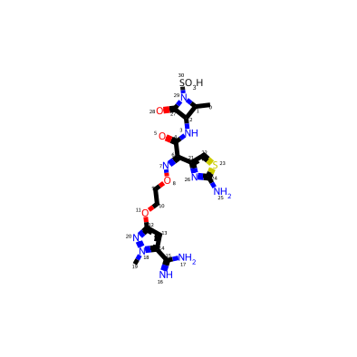 CC1C(NC(=O)C(=NOCCOc2cc(C(=N)N)n(C)n2)c2csc(N)n2)C(=O)N1S(=O)(=O)O